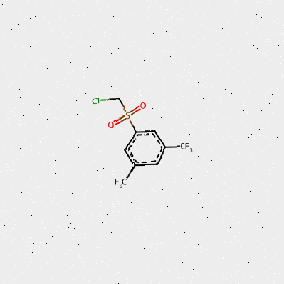 O=S(=O)(CCl)c1cc(C(F)(F)F)cc(C(F)(F)F)c1